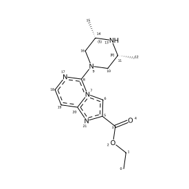 CCOC(=O)c1cn2c(N3C[C@@H](C)N[C@@H](C)C3)nccc2n1